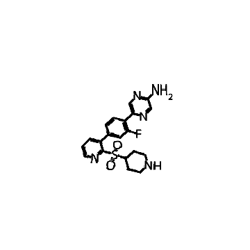 Nc1cnc(-c2ccc(-c3cccnc3S(=O)(=O)C3CCNCC3)cc2F)cn1